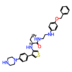 CC(C)C[C@H](Nc1cscc1-c1ccc(N2CCNCC2)cc1)C(=O)NCCNc1ccc(OCc2ccccc2)cc1